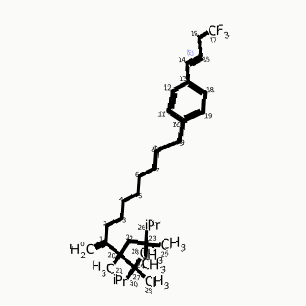 C=C(CCCCCCCCc1ccc(/C=C/CC(F)(F)F)cc1)C(C)(CC(C)(C)C(C)C)C(C)(C)C(C)C